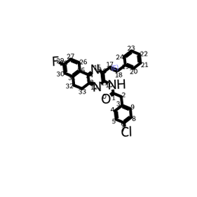 O=C(Cc1ccc(Cl)cc1)Nc1nc2c(nc1/C=C/c1ccccc1)-c1ccc(F)cc1CC2